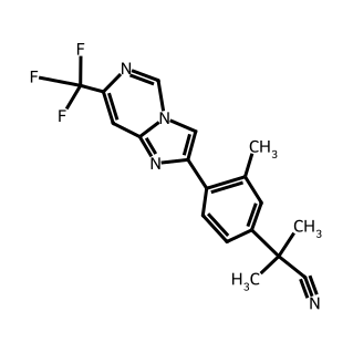 Cc1cc(C(C)(C)C#N)ccc1-c1cn2cnc(C(F)(F)F)cc2n1